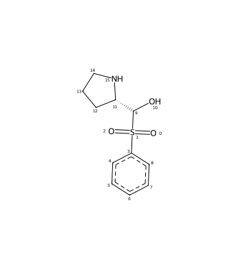 O=S(=O)(c1ccccc1)C(O)[C@@H]1CCCN1